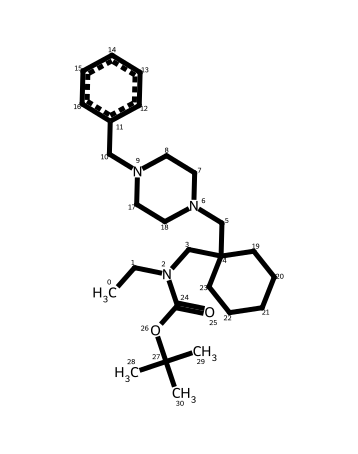 CCN(CC1(CN2CCN(Cc3ccccc3)CC2)CCCCC1)C(=O)OC(C)(C)C